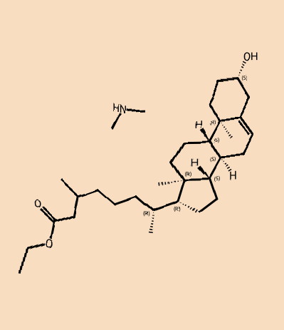 CCOC(=O)CC(C)CCC[C@@H](C)[C@H]1CC[C@H]2[C@@H]3CC=C4C[C@@H](O)CC[C@]4(C)[C@H]3CC[C@]12C.CNC